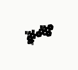 Cc1ccc(C(C)NC(=O)c2ccc3c(c2)CCCN3Cc2cccc(-c3ccccc3C(N)=O)c2)cc1F